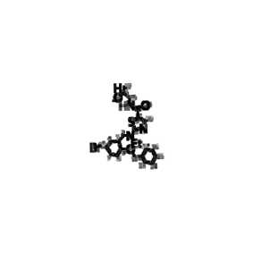 CCN(Cc1cc(Br)ccc1OCc1ccccc1)c1ncc(C(=O)NCC(C)O)s1